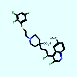 COc1ccc2ncc(F)c([C@@H](F)CCC3(C(=O)O)CCN(CCSc4cc(F)cc(F)c4F)CC3)c2c1